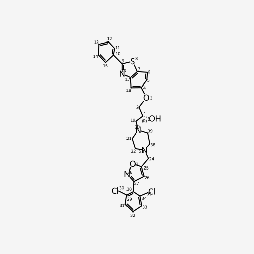 O[C@@H](COc1ccc2sc(-c3ccccc3)nc2c1)CN1CCN(Cc2cc(-c3c(Cl)cccc3Cl)no2)CC1